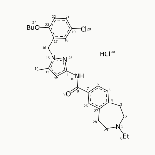 CCN1CCc2ccc(C(=O)Nc3cc(C)n(Cc4cc(Cl)ccc4OCC(C)C)n3)cc2CC1.Cl